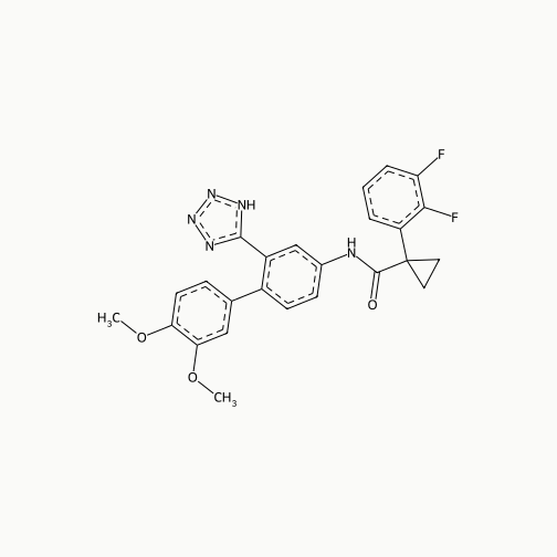 COc1ccc(-c2ccc(NC(=O)C3(c4cccc(F)c4F)CC3)cc2-c2nnn[nH]2)cc1OC